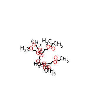 C=C(C)C(=O)OCCC[Si](OCCOC)(OCCOC)OCCOC.C=CC(=O)OCCC[Si](OC)(OC)OC